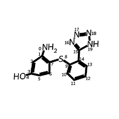 Nc1cc(O)ccc1Sc1ccccc1-c1nnn[nH]1